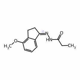 CCC(=O)N/N=C1/CCc2c(OC)cccc21